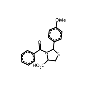 COc1ccc(C2SCC(C(=O)O)N2C(=O)c2ccccc2)cc1